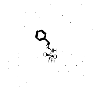 CCCS(=O)(=O)NN=Cc1ccccc1